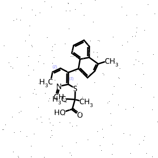 C=N/C(SC(C)(C)C(=O)O)=C(\C=C/C)c1ccc(C)c2ccccc12